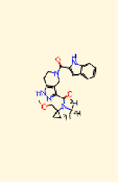 [2H]C([2H])([2H])N(C(=O)c1n[nH]c2c1CN(C(=O)c1cc3ccccc3[nH]1)CC2)C1(COC)CC1